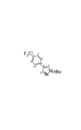 CC(C)(C)n1cc(-c2ccc(C(F)(F)F)cc2)cn1